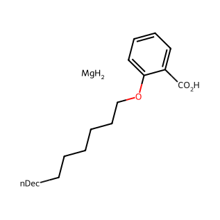 CCCCCCCCCCCCCCCCOc1ccccc1C(=O)O.[MgH2]